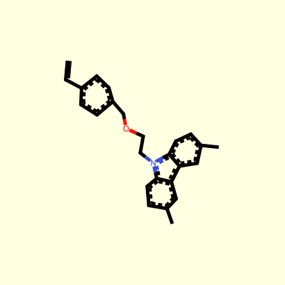 C=Cc1ccc(COCCn2c3ccc(C)cc3c3cc(C)ccc32)cc1